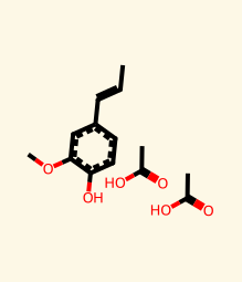 CC(=O)O.CC(=O)O.CC=Cc1ccc(O)c(OC)c1